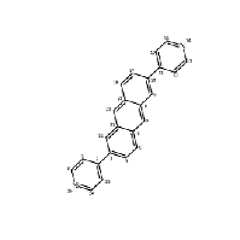 c1cc(-c2ccc3cc4cc(-c5ccncc5)ccc4cc3c2)ccn1